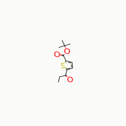 CCC(=O)c1ccc(C(=O)OC(C)(C)C)s1